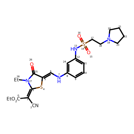 CCOC(=O)C(C#N)=c1sc(=CNc2cccc(NS(=O)(=O)CCN3CCCC3)c2)c(=O)n1CC